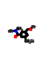 CCCN(C)C(=O)c1cc(COC(C)C)cc(C(=O)OCC)c1